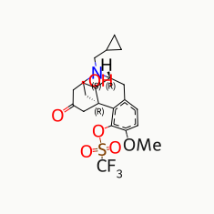 COc1ccc2c(c1OS(=O)(=O)C(F)(F)F)[C@]13CCN(CC4CC4)[C@H](C2)[C@]1(O)CCC(=O)C3